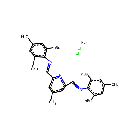 CCCCc1cc(C)cc(CCCC)c1N=Cc1cc(C)cc(C=Nc2c(CCCC)cc(C)cc2CCCC)n1.[Cl-].[Cl-].[Fe+2]